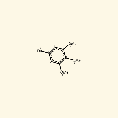 CCC(C)c1cc(OC)c(OC)c(OC)c1